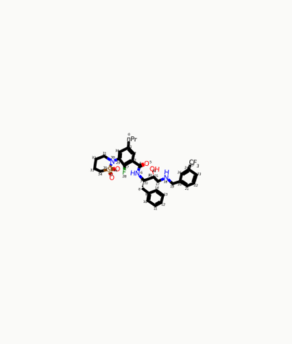 CCCc1cc(C(=O)N[C@@H](Cc2ccccc2)[C@H](O)CNCc2cccc(C(F)(F)F)c2)c(F)c(N2CCCCS2(=O)=O)c1